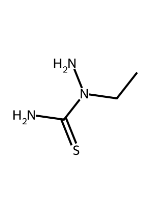 CCN(N)C(N)=S